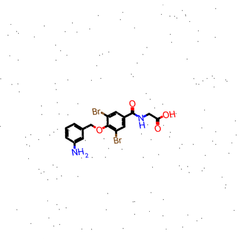 Nc1cccc(COc2c(Br)cc(C(=O)NCC(=O)O)cc2Br)c1